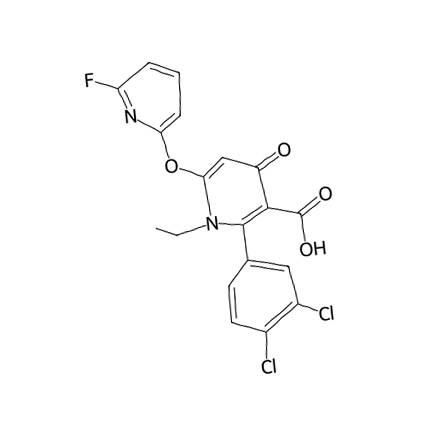 CCn1c(Oc2cccc(F)n2)cc(=O)c(C(=O)O)c1-c1ccc(Cl)c(Cl)c1